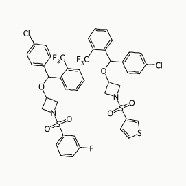 O=S(=O)(c1cccc(F)c1)N1CC(OC(c2ccc(Cl)cc2)c2ccccc2C(F)(F)F)C1.O=S(=O)(c1ccsc1)N1CC(OC(c2ccc(Cl)cc2)c2ccccc2C(F)(F)F)C1